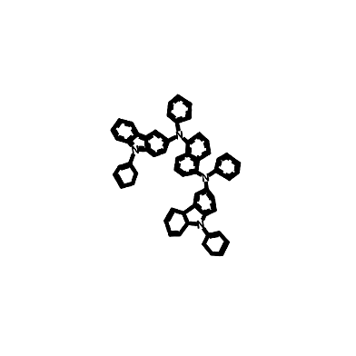 C1=CCCC(N2c3ccc(N(c4ccccc4)c4cccc5c(N(c6ccccc6)c6ccc7c(c6)c6ccccc6n7C6=CC=CCC6)cccc45)cc3C3C=CC=CC32)=C1